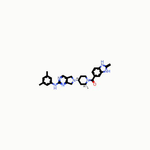 C=C1Nc2ccc(C(=O)N3CC[C@@H](N4Cc5cnc(Nc6cc(C)cc(C)c6)nc5C4)C[C@H]3C)cc2N1